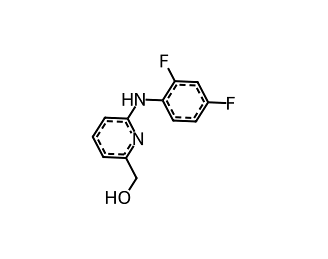 OCc1cccc(Nc2ccc(F)cc2F)n1